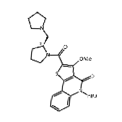 CCCCn1c(=O)c2c(OC)c(C(=O)N3CCC[C@H]3CN3CCCC3)sc2c2ccccc21